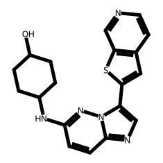 OC1CCC(Nc2ccc3ncc(-c4cc5ccncc5s4)n3n2)CC1